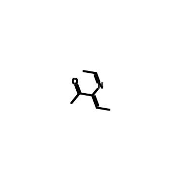 C/C=N\C(=C/C)C(C)=O